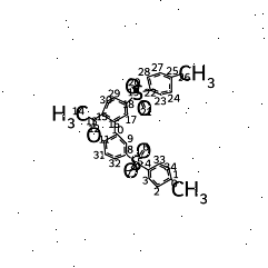 Cc1ccc(S(=O)(=O)c2ccc(OC(C)c3ccc(S(=O)(=O)c4ccc(C)cc4)cc3)cc2)cc1